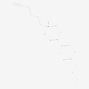 CCCCC1CCC(C2CCC(CCC=CC#N)(OC)CC2)CC1